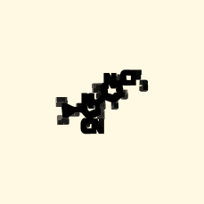 N#CC1=CC(c2ccc(C(F)(F)F)nc2)N=C1C1CC1